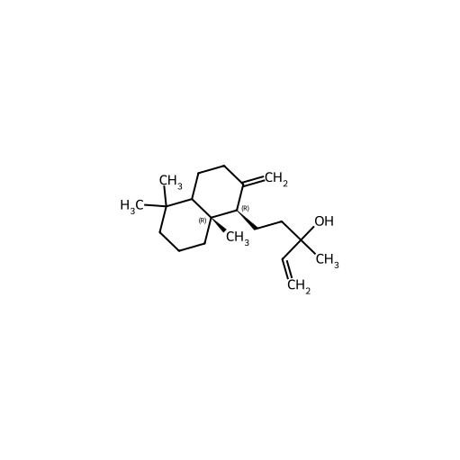 C=CC(C)(O)CC[C@@H]1C(=C)CCC2C(C)(C)CCC[C@]21C